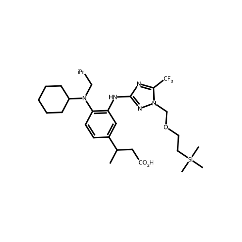 CC(C)CN(c1ccc(C(C)CC(=O)O)cc1Nc1nc(C(F)(F)F)n(COCC[Si](C)(C)C)n1)C1CCCCC1